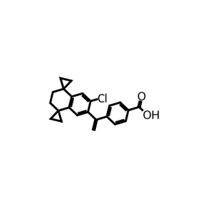 C=C(c1ccc(C(=O)O)cc1)c1cc2c(cc1Cl)C1(CC1)CCC21CC1